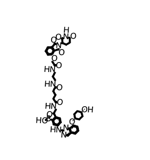 O=C(CCCC(=O)NCC1OB(O)c2cc(Nc3ncc4cccc(O[C@H]5CC[C@@H](O)CC5)c4n3)ccc21)NCCCNC(=O)COc1cccc2c1C(=O)N(C1CCC(=O)NC1=O)C2=O